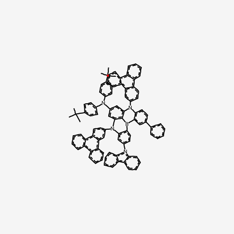 CC(C)(C)c1ccc(N(c2ccc(C(C)(C)C)cc2)c2cc3c4c(c2)N(c2ccc5c6ccccc6c6ccccc6c5c2)c2cc(-n5c6ccccc6c6ccccc65)ccc2B4c2cc(-c4ccccc4)ccc2N3c2ccc3c4ccccc4c4ccccc4c3c2)cc1